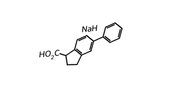 O=C(O)C1CCc2cc(-c3ccccc3)ccc21.[NaH]